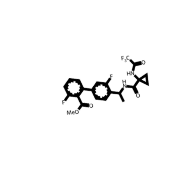 COC(=O)c1c(F)cccc1-c1ccc(C(C)NC(=O)C2(NC(=O)C(F)(F)F)CC2)c(F)c1